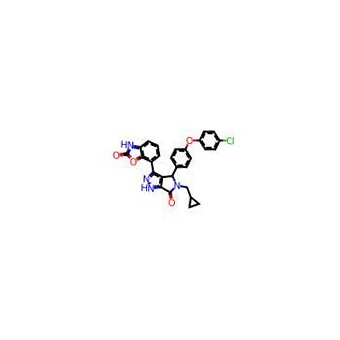 O=C1c2[nH]nc(-c3cccc4[nH]c(=O)oc34)c2C(c2ccc(Oc3ccc(Cl)cc3)cc2)N1CC1CC1